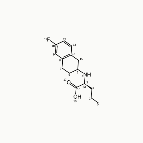 CCC[C@H](NC1CCc2cc(F)ccc2C1)C(=O)O